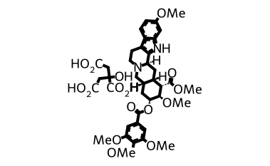 COC(=O)[C@H]1[C@H]2C[C@@H]3c4[nH]c5cc(OC)ccc5c4CCN3C[C@H]2C[C@@H](OC(=O)c2cc(OC)c(OC)c(OC)c2)[C@@H]1OC.O=C(O)CC(O)(CC(=O)O)C(=O)O